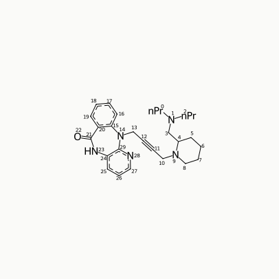 CCCN(CCC)CC1CCCCN1CC#CCN1c2ccccc2C(=O)Nc2cccnc21